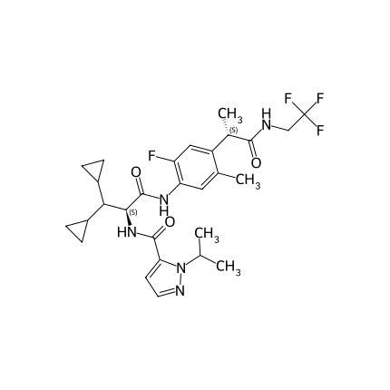 Cc1cc(NC(=O)[C@@H](NC(=O)c2ccnn2C(C)C)C(C2CC2)C2CC2)c(F)cc1[C@H](C)C(=O)NCC(F)(F)F